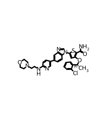 C[C@@H](Oc1cc(-n2cnc3cc(-c4ccc(NCCN5CCOCC5)nc4)ccc32)sc1C(N)=O)c1ccccc1Cl